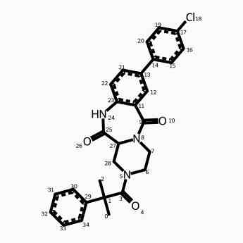 CC(C)(C(=O)N1CCN2C(=O)c3cc(-c4ccc(Cl)cc4)ccc3NC(=O)C2C1)c1ccccc1